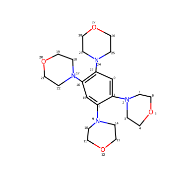 c1c(N2CCOCC2)c(N2CCOCC2)cc(N2CCOCC2)c1N1CCOCC1